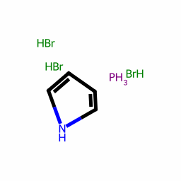 Br.Br.Br.P.c1cc[nH]c1